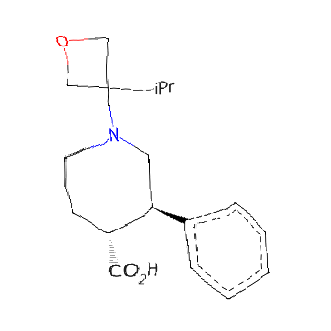 CC(C)C1(N2CC[C@@H](C(=O)O)[C@H](c3ccccc3)C2)COC1